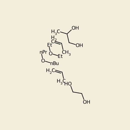 C=CC.C=CC.CC(O)CO.CCCCOCCC.CCOCC.OCCO